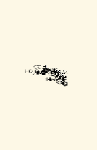 CCCCCCN(C(=O)[C@H](NC(=O)[C@@H]1CCCCN1)[C@H](C)CC)[C@@H](C[C@H](OC(C)=O)c1nc(C(=O)N[C@H](Cc2ccc(NCC(=O)O)cc2)CC(C)(C)C(=O)O)cs1)C(C)C